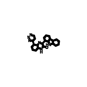 O=c1[nH]c2cccc(-c3ccnnn3)c2nc1-c1cccc2c1[nH]c1ccccc12